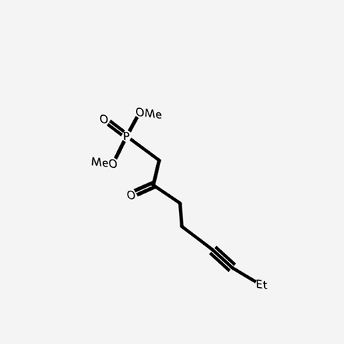 CCC#CCCC(=O)CP(=O)(OC)OC